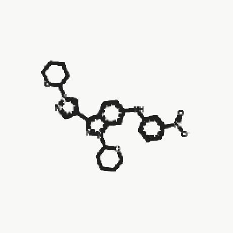 O=[N+]([O-])c1cccc(Nc2ccc3c(-c4cnn(C5CCCCO5)c4)nn(C4CCCCO4)c3c2)c1